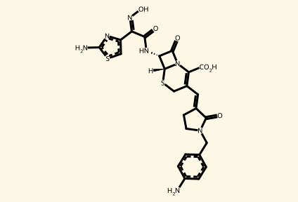 Nc1ccc(CN2CCC(=CC3=C(C(=O)O)N4C(=O)[C@@H](NC(=O)/C(=N\O)c5csc(N)n5)[C@H]4SC3)C2=O)cc1